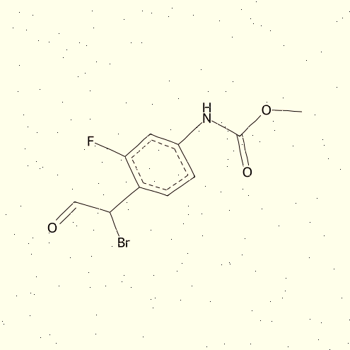 COC(=O)Nc1ccc(C(Br)C=O)c(F)c1